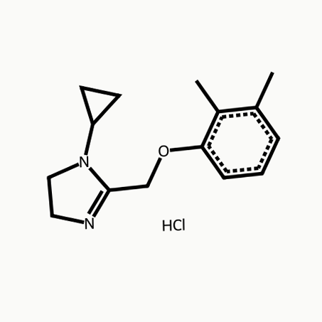 Cc1cccc(OCC2=NCCN2C2CC2)c1C.Cl